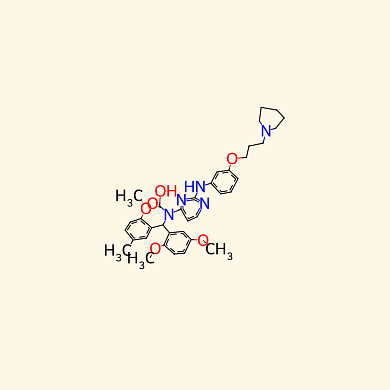 COc1ccc(OC)c(C(c2cc(C)ccc2OC)N(C(=O)O)c2ccnc(Nc3cccc(OCCCN4CCCCC4)c3)n2)c1